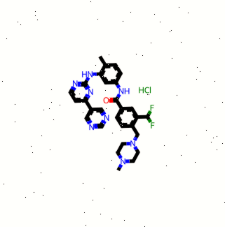 Cc1ccc(NC(=O)c2ccc(CN3CCN(C)CC3)c(C(F)F)c2)cc1Nc1nccc(-c2cncnc2)n1.Cl